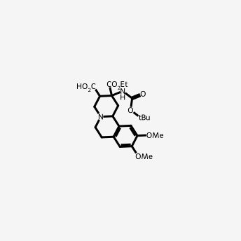 CCOC(=O)C1(NC(=O)OC(C)(C)C)CC2c3cc(OC)c(OC)cc3CCN2CC1C(=O)O